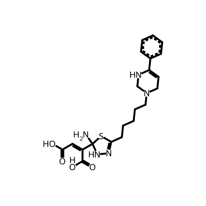 NC1(C(=CC(=O)O)C(=O)O)NN=C(CCCCCN2CC=C(c3ccccc3)NC2)S1